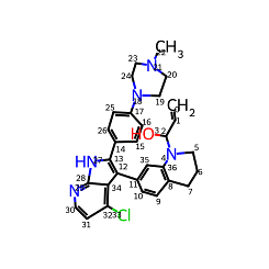 C=CC(O)N1CCCc2ccc(-c3c(-c4ccc(N5CCN(C)CC5)cc4)[nH]c4nccc(Cl)c34)cc21